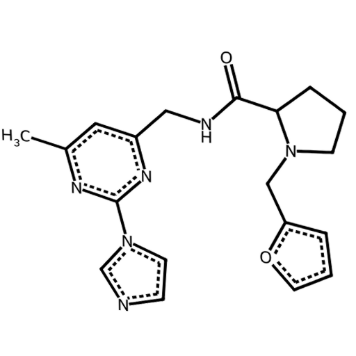 Cc1cc(CNC(=O)C2CCCN2Cc2ccco2)nc(-n2ccnc2)n1